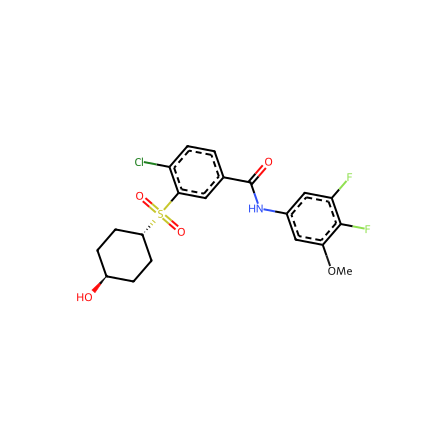 COc1cc(NC(=O)c2ccc(Cl)c(S(=O)(=O)[C@H]3CC[C@H](O)CC3)c2)cc(F)c1F